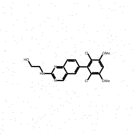 COc1cc(OC)c(Cl)c(-c2ccc3nc(NCCO)ncc3c2)c1Cl